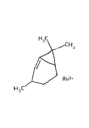 CC1C=C2C(CC1)C2(C)C.[Ru+2]